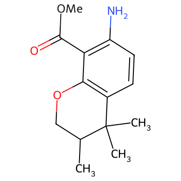 COC(=O)c1c(N)ccc2c1OCC(C)C2(C)C